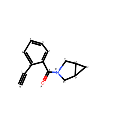 C#Cc1ccccc1C(=O)N1CC2CC2C1